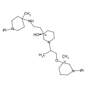 CC(C)N1CCC(C)(NCC[C@]2(O)CCCN(C(C)CO[C@]3(C)CCCN(C(C)C)C3)C2)CC1